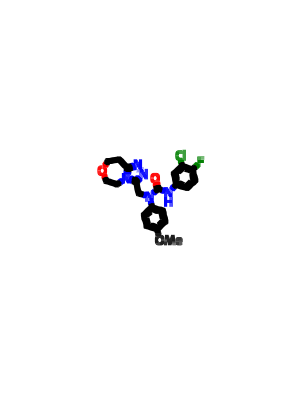 COc1ccc(N(Cc2nnc3n2CCOCC3)C(=O)Nc2ccc(F)c(Cl)c2)cc1